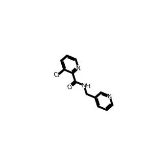 O=C(NCc1cccnc1)c1ncccc1Cl